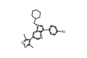 CC(=O)c1ccc(-c2cn(CC3CCCCC3)c3cc(-c4c(C)noc4C)cnc23)cc1